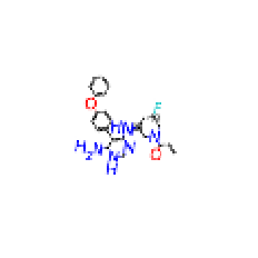 C=CC(=O)N1C[C@@H](F)C[C@H](NC2=C(c3ccc(Oc4ccccc4)cc3)C(N)NC=N2)C1